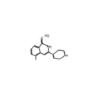 Cc1cccc2c(=O)[nH]c(C3CCNCC3)cc12.Cl